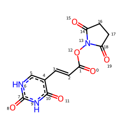 O=C(/C=C/c1c[nH]c(=O)[nH]c1=O)ON1C(=O)CCC1=O